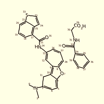 CN(C)C1=CC=c2oc3c(c2C1)C=C(NC(=O)c1cccc2sccc12)C=CC=3.O=C(O)CNC(=O)c1ccccc1